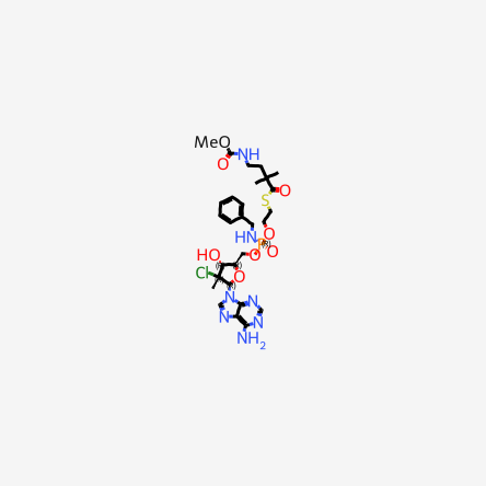 COC(=O)NCCC(C)(C)C(=O)SCCO[P@@](=O)(NCc1ccccc1)OC[C@H]1O[C@@H](n2cnc3c(N)ncnc32)[C@](C)(Cl)[C@@H]1O